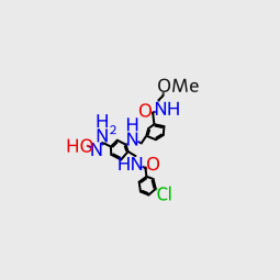 COCCNC(=O)c1cccc(CNc2cc(C(N)=NO)ccc2CNC(=O)c2cccc(Cl)c2)c1